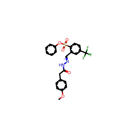 COc1ccc(CC(=O)N/N=C/c2cc(C(F)(F)F)ccc2S(=O)(=O)Oc2ccccc2)cc1